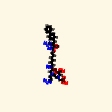 NCCN(CCN(CC(=O)O)CC(=O)O)CC(=O)NCCCCCCONC(=O)[C@H](N)Cc1ccc(-c2ccccc2)cc1